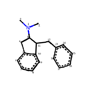 CN(C)C1Cc2ccccc2C1Cc1ccccc1